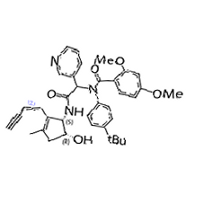 C#C/C=C\C1=C(C)C[C@@H](O)[C@H]1NC(=O)C(c1cccnc1)N(C(=O)c1ccc(OC)cc1OC)c1ccc(C(C)(C)C)cc1